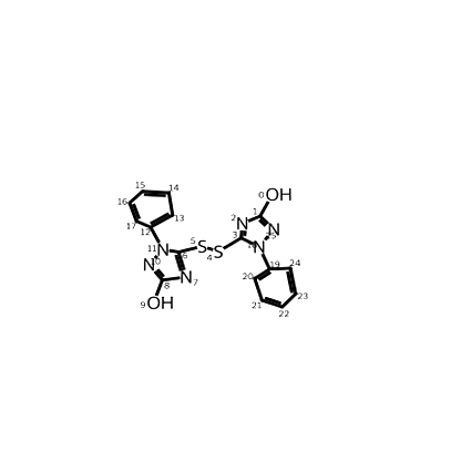 Oc1nc(SSc2nc(O)nn2-c2ccccc2)n(-c2ccccc2)n1